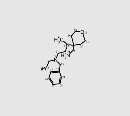 CC(C)CN(CCN(C)C1(CN)CCOCC1)Cc1ccccc1